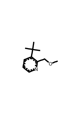 COCc1ncccc1C(C)(C)C